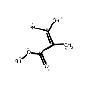 [2H]OC(=O)C(C)=C([2H])[2H]